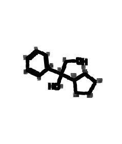 OCC(O)(c1ccccc1)C1CCCC1